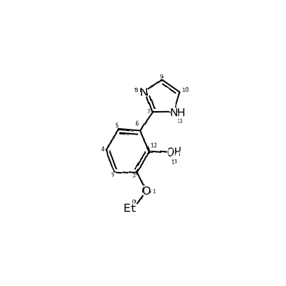 CCOc1cccc(-c2ncc[nH]2)c1O